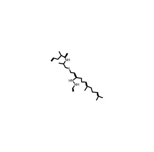 C=CCC(C)C(=C)NC(C)CSC/C=C(/CC/C=C(\C)CCC=C(C)C)NNC=C